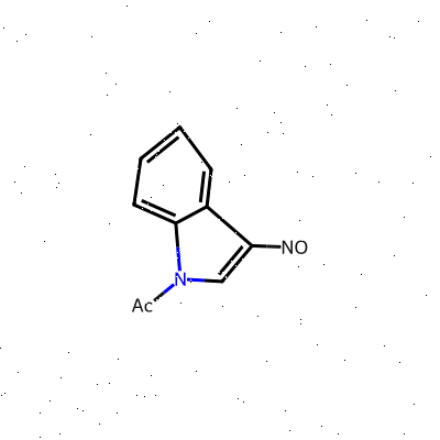 CC(=O)n1cc(N=O)c2ccccc21